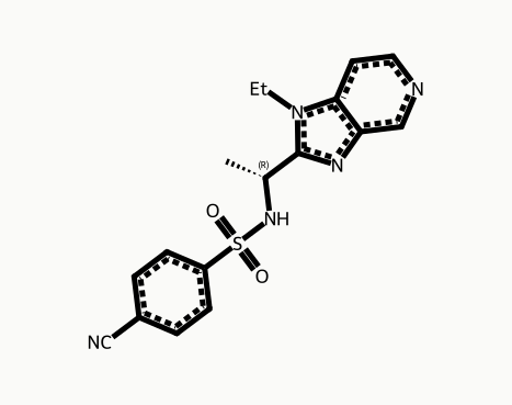 CCn1c([C@@H](C)NS(=O)(=O)c2ccc(C#N)cc2)nc2cnccc21